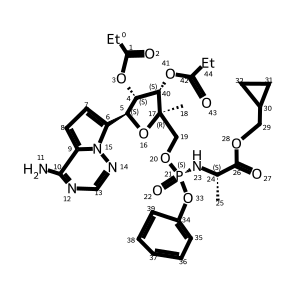 CCC(=O)O[C@H]1[C@H](c2ccc3c(N)ncnn23)O[C@](C)(CO[P@@](=O)(N[C@@H](C)C(=O)OCC2CC2)Oc2ccccc2)[C@H]1OC(=O)CC